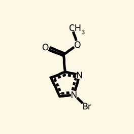 COC(=O)c1ccn(Br)n1